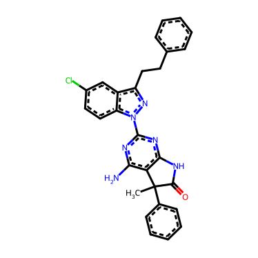 CC1(c2ccccc2)C(=O)Nc2nc(-n3nc(CCc4ccccc4)c4cc(Cl)ccc43)nc(N)c21